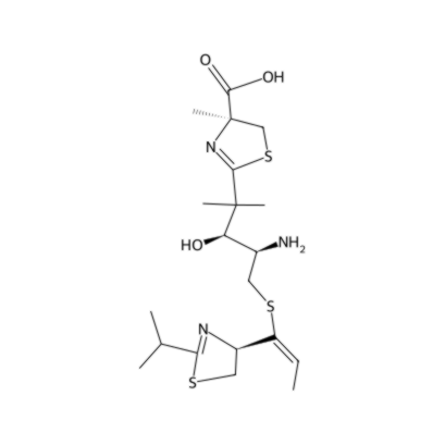 C/C=C(/SC[C@H](N)[C@@H](O)C(C)(C)C1=N[C@@](C)(C(=O)O)CS1)[C@H]1CSC(C(C)C)=N1